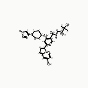 Cn1cc([C@H]2CC[C@H](Nc3cc(-c4ccc5cc(C#N)cnn45)ncc3C(=O)NC[C@@H](F)C(C)(C)O)CC2)nn1